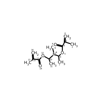 C=C(C)C(=O)OC(C)N(C)C(C)OC(=O)C(=C)C